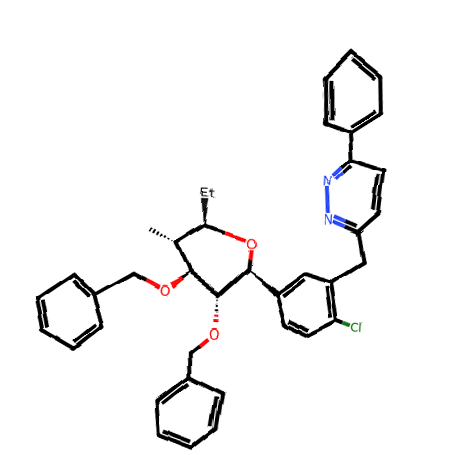 CC[C@H]1O[C@@H](c2ccc(Cl)c(Cc3ccc(-c4ccccc4)nn3)c2)[C@H](OCc2ccccc2)[C@@H](OCc2ccccc2)[C@@H]1C